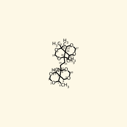 CC1OCOC(C)C12COCOC2(C)CCC1(C)OCOC(C)(C)C12COCOC2C